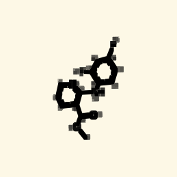 COC(=O)c1cccnc1Nc1ccc(F)cc1F